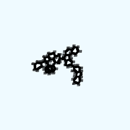 c1ccc(-c2nc(-n3c4ccc(-c5ccc6sc7ccccc7c6c5)cc4c4c5ccccc5ccc43)nc3ccc4cc(-c5ccccc5)n(-c5ccccc5)c4c23)cc1